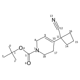 CC(C)(C)OC(=O)N1CC=C(C2(C#N)CCC2)CC1